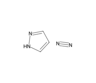 N#N.c1cn[nH]c1